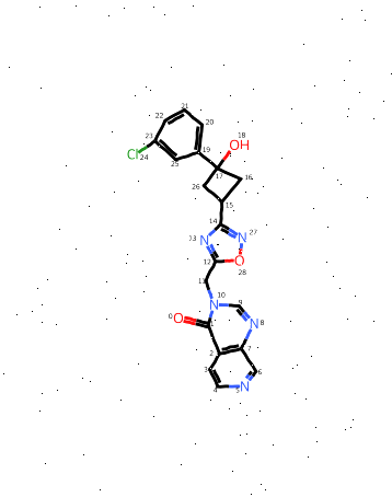 O=c1c2ccncc2ncn1Cc1nc(C2CC(O)(c3cccc(Cl)c3)C2)no1